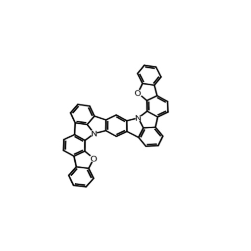 c1ccc2c(c1)oc1c2ccc2c3cccc4c5cc6c(cc5n(c43)c21)c1cccc2c3ccc4c5ccccc5oc4c3n6c12